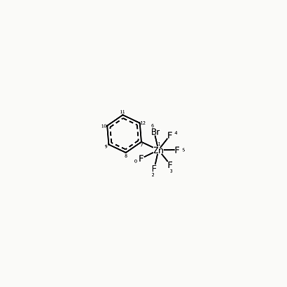 [F][Zn]([F])([F])([F])([F])([Br])[c]1ccccc1